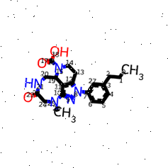 CCCc1cccc(-n2nc3c4c2CCN(C(=O)O)C4CNC(=O)CN3C)c1